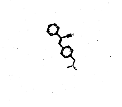 CN(C)Cc1ccc(/C=C(\C#N)c2ccccc2)cc1